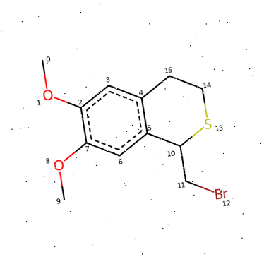 COc1cc2c(cc1OC)C(CBr)SCC2